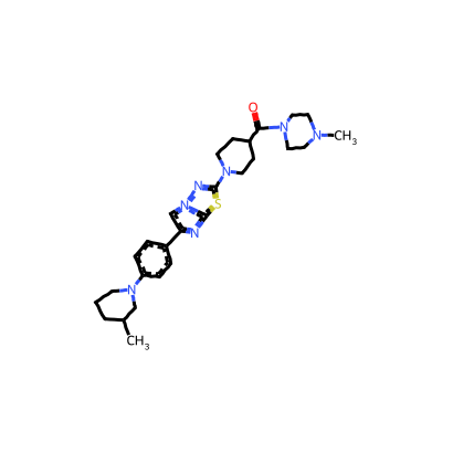 CC1CCCN(c2ccc(-c3cn4nc(N5CCC(C(=O)N6CCN(C)CC6)CC5)sc4n3)cc2)C1